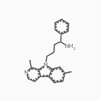 Cc1ccc2c3ccnc(C)c3n(CCCC(N)c3ccccc3)c2c1